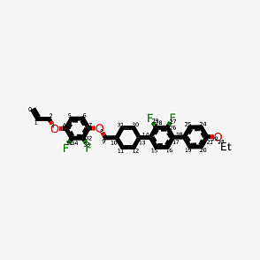 C=CCOc1ccc(OCC2CCC(c3ccc(-c4ccc(OCC)cc4)c(F)c3F)CC2)c(F)c1F